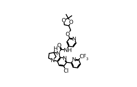 CC1(C)OCC(COc2cc(NC(=O)N3c4nc(-c5cccc(C(F)(F)F)n5)c(Cl)cc4N4CC[C@H]3C4)ccn2)O1